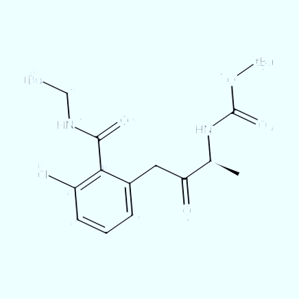 C[C@H](NC(=O)OC(C)(C)C)C(=O)Cc1cccc(Cl)c1C(=O)NCC(C)(C)C